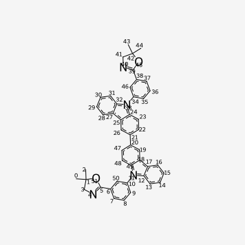 CC1(C)CN=C(c2cccc(-n3c4ccccc4c4cc(-c5ccc6c(c5)c5ccccc5n6-c5cccc(C6=NCC(C)(C)O6)c5)ccc43)c2)O1